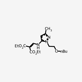 CCCCOCCn1nc(C)cc1NC=C(C(=O)OCC)C(=O)OCC